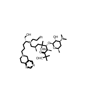 CO[C@](C)(C[C@@H](C)CN(CCC(C)C)[C@@H](CO)CCCN1CCc2ncncc2C1)[C@H](O[C@@H]1O[C@H](C)C[C@H](N(C)C)[C@H]1O)[C@@H](C)C(=O)C(C)(C)C=O